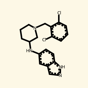 Clc1cccc(Cl)c1CN1CCCC(Nc2ccc3[nH]ncc3c2)C1